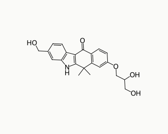 CC1(C)c2cc(OCC(O)CO)ccc2C(=O)c2c1[nH]c1cc(CO)ccc21